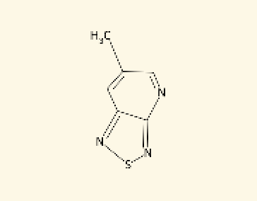 Cc1cnc2nsnc2c1